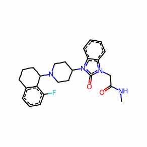 CNC(=O)Cn1c(=O)n(C2CCN(C3CCCc4cccc(F)c43)CC2)c2ccccc21